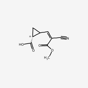 COC(=O)C(C#N)=CC1C[C@H]1C(=O)O